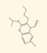 CCCCC1=C(OC(C)C)Oc2ccc(I)cc2C1C=O